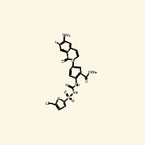 CNc1cc2ccn(-c3ccc(NC(=O)NS(=O)(=O)c4ccc(Cl)s4)c(C(=O)OC)c3)c(=O)c2cc1F